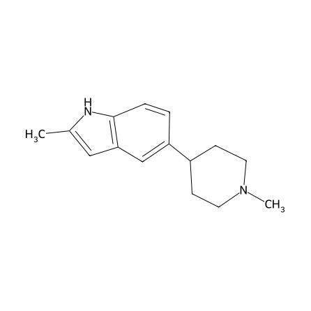 Cc1cc2cc(C3CCN(C)CC3)ccc2[nH]1